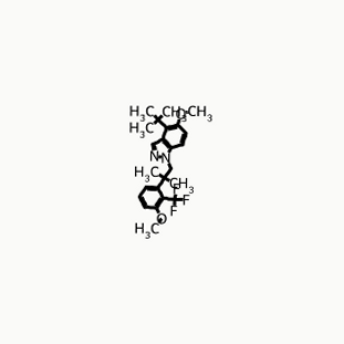 COc1cccc(C(C)(C)Cn2ncc3c(C(C)(C)C)c(OC)ccc32)c1C(F)(F)F